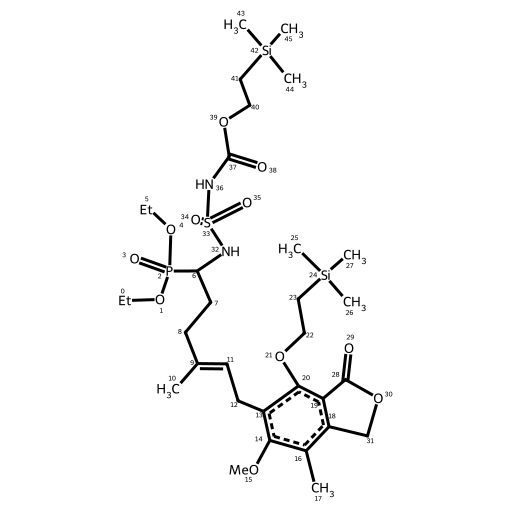 CCOP(=O)(OCC)C(CC/C(C)=C/Cc1c(OC)c(C)c2c(c1OCC[Si](C)(C)C)C(=O)OC2)NS(=O)(=O)NC(=O)OCC[Si](C)(C)C